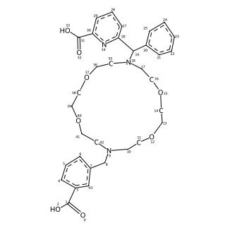 O=C(O)c1cccc(CN2CCOCCOCCN(C(c3ccccc3)c3cccc(C(=O)O)n3)CCOCCOCC2)c1